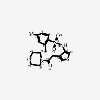 Cc1cc(Br)ccc1S(=O)(=O)Nc1cscc1CC(=O)N1CCOCC1